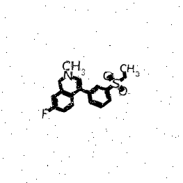 CCS(=O)(=O)c1cccc(C2=CN(C)Cc3cc(F)ccc32)c1